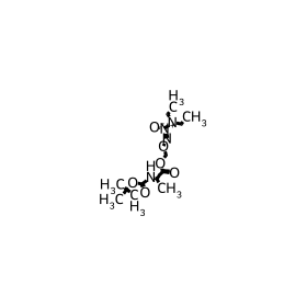 CCN(CC)/[N+]([O-])=N/OCOC(=O)C(C)NC(=O)OC(C)(C)C